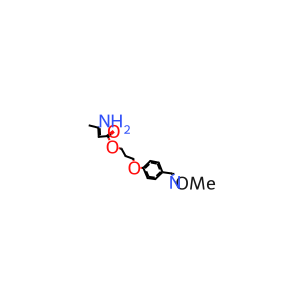 CO/N=C/c1ccc(OCCCOC(=O)/C=C(/C)N)cc1